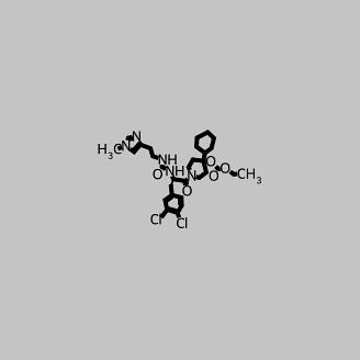 CCOC(=O)OC1(C2CCCCC2)CCN(C(=O)[C@@H](Cc2ccc(Cl)c(Cl)c2)NC(=O)NCCc2cn(C)cn2)CC1